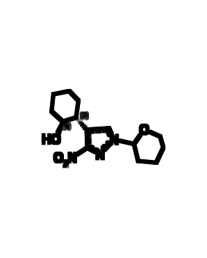 O=[N+]([O-])c1nn(C2CCCCO2)cc1[C@H]1CCCC[C@@H]1O